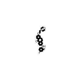 O=C1C2=CC=C(Nc3ccc(F)cc3F)CC2=CCc2cc(OCCN3CCOCC3)ccc21